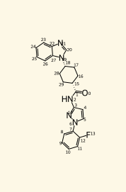 O=C(Nc1ccn(-c2ccccc2F)n1)[C@H]1CC[C@@H](n2cnc3ccccc32)CC1